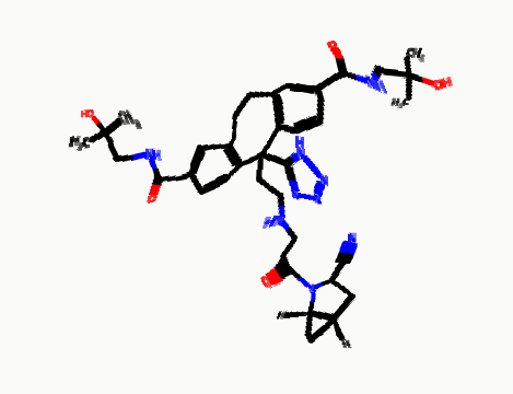 CC(C)(O)CNC(=O)c1ccc2c(c1)CCc1cc(C(=O)NCC(C)(C)O)ccc1C2(CCNCC(=O)N1C(C#N)C[C@@H]2C[C@@H]21)c1nnn[nH]1